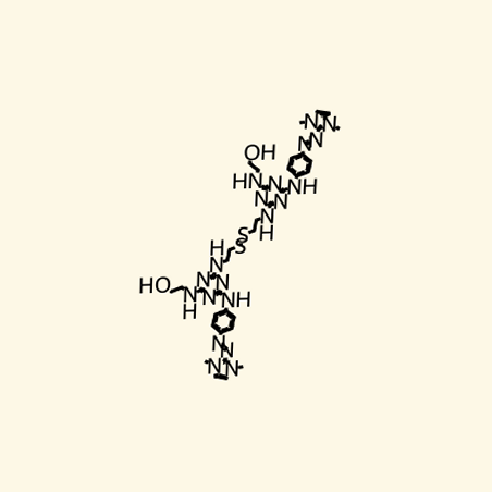 Cn1cc[n+](C)c1/N=N/c1ccc(Nc2nc(NCCO)nc(NCCSSCCNc3nc(NCCO)nc(Nc4ccc(/N=N/c5n(C)cc[n+]5C)cc4)n3)n2)cc1